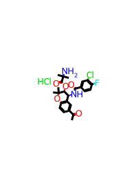 CC(=O)c1ccc2c(c1)[C@H](NC(=O)c1ccc(F)c(Cl)c1)[C@H](OC(=O)C(C)(C)N)C(C)(C)O2.Cl